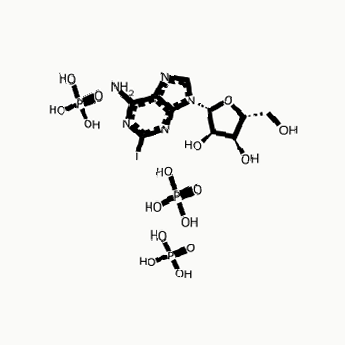 Nc1nc(I)nc2c1ncn2[C@@H]1O[C@H](CO)[C@@H](O)[C@H]1O.O=P(O)(O)O.O=P(O)(O)O.O=P(O)(O)O